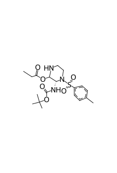 CCC(=O)OC1NCCN(S(=O)(=O)c2ccc(C)cc2)[C@@H]1NC(=O)OC(C)(C)C